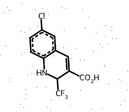 O=C(O)C1=Cc2cc(Cl)ccc2NC1C(F)(F)F